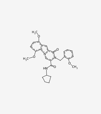 COc1ccccc1Cn1c(C(=O)NC2CCCC2)cn2c(cc3c(OC)ccc(OC)c32)c1=O